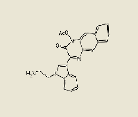 CC(=O)On1c(=O)c(-c2cn(CCN)c3ccccc23)nc2cc3ccccc3cc21